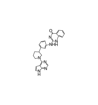 O=c1nc(Nc2cccc(C3CCCN(c4ncnc5[nH]ccc45)C3)c2)[nH]c2ccccc12